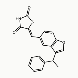 CC(c1ccccc1)c1coc2ccc(/C=C3\SC(=O)NC3=O)cc12